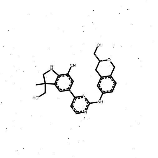 CC1(CO)CNc2c(C#N)cc(-c3ccnc(Nc4ccc5c(c4)CC(CO)OC5)n3)cc21